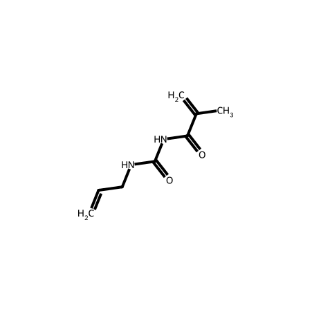 C=CCNC(=O)NC(=O)C(=C)C